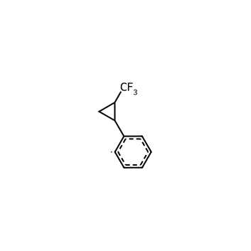 FC(F)(F)C1CC1c1[c]cccc1